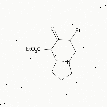 CCOC(=O)C1C(=O)C(CC)CN2CCCC12